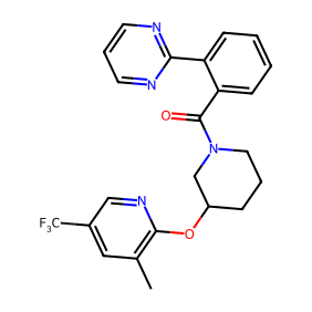 Cc1cc(C(F)(F)F)cnc1OC1CCCN(C(=O)c2ccccc2-c2ncccn2)C1